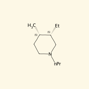 CCCN1CC[C@H](C)[C@H](CC)C1